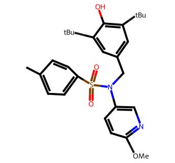 COc1ccc(N(Cc2cc(C(C)(C)C)c(O)c(C(C)(C)C)c2)S(=O)(=O)c2ccc(C)cc2)cn1